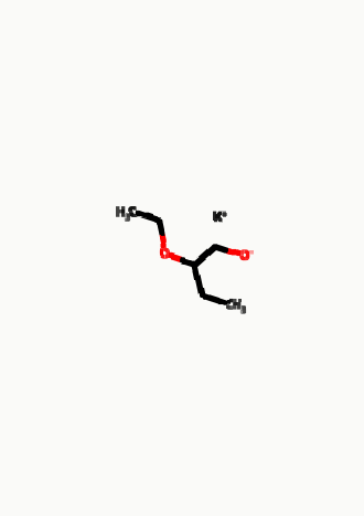 CCOC(CC)C[O-].[K+]